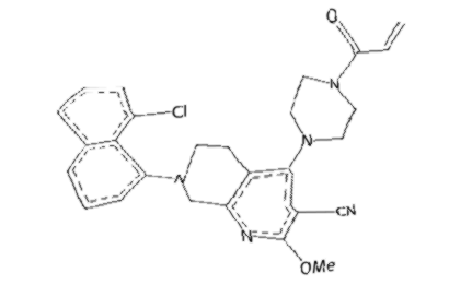 C=CC(=O)N1CCN(c2c(C#N)c(OC)nc3c2CCN(c2cccc4cccc(Cl)c24)C3)CC1